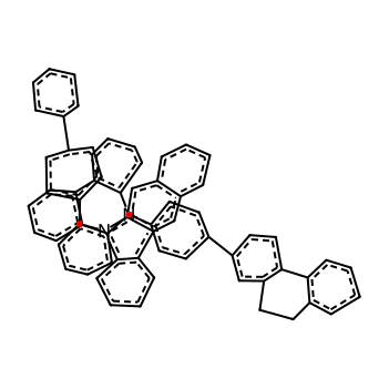 c1ccc(-c2ccc(-c3ccccc3N(c3ccc(-c4ccc5c(c4)CCc4ccccc4-5)cc3)c3ccccc3-c3ccccc3-n3c4ccccc4c4cc5ccccc5cc43)cc2)cc1